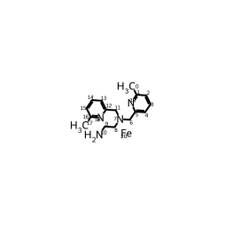 Cc1cccc(CN(CCN)Cc2cccc(C)n2)n1.[Fe]